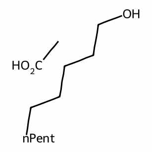 CC(=O)O.CCCCCCCCCCO